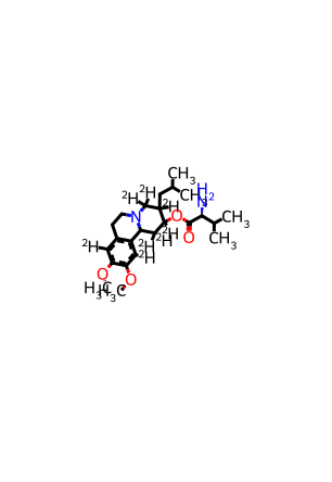 [2H]c1c2c(c([2H])c(OC)c1OC)C1N(CC2)C([2H])([2H])C([2H])(CC(C)C)C([2H])(OC(=O)[C@@H](N)C(C)C)C1([2H])[2H]